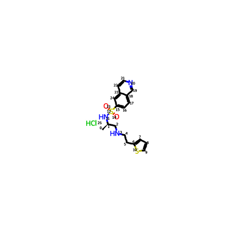 C[C@H](CNCCc1cccs1)NS(=O)(=O)c1ccc2cnccc2c1.Cl